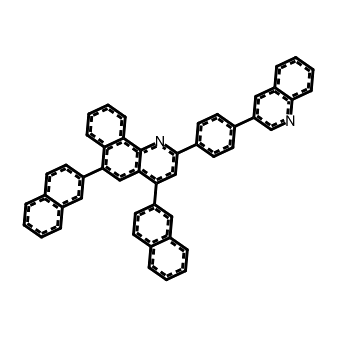 c1ccc2cc(-c3cc4c(-c5ccc6ccccc6c5)cc(-c5ccc(-c6cnc7ccccc7c6)cc5)nc4c4ccccc34)ccc2c1